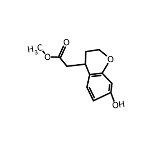 COC(=O)CC1CCOc2cc(O)ccc21